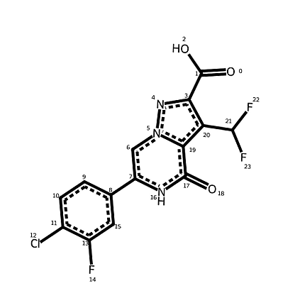 O=C(O)c1nn2cc(-c3ccc(Cl)c(F)c3)[nH]c(=O)c2c1C(F)F